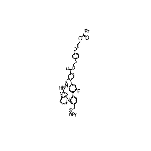 CCCSCc1ccc(-c2ccc(-c3ccc(C(=O)OCCc4ccc(OCCCOC(=O)C(C)C)cc4)cc3/C=N/Nc3nc4cccnc4s3)cc2F)cc1